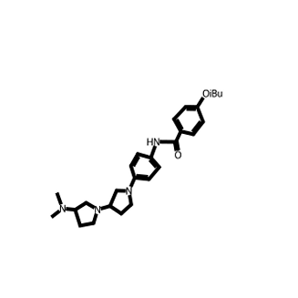 CC(C)COc1ccc(C(=O)Nc2ccc(N3CCC(N4CCC(N(C)C)C4)C3)cc2)cc1